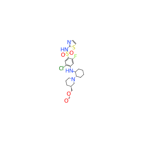 O=COC[C@H]1CCCN([C@H]2CCCC[C@@H]2Nc2cc(F)c(S(=O)(=O)Nc3nccs3)cc2Cl)C1